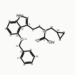 O=C(O)N(CCc1c[nH]c2cccc(OCc3ccccc3)c12)CC1CC1